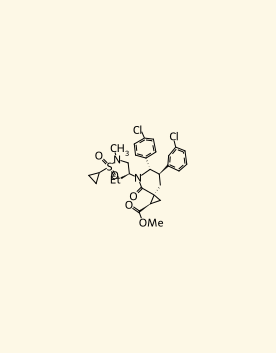 CC[C@@H](CN(C)S(=O)(=O)C1CC1)N1C(=O)[C@@]2(C[C@H](c3cccc(Cl)c3)[C@H]1c1ccc(Cl)cc1)C[C@H]2C(=O)OC